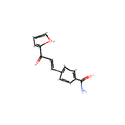 NC(=O)c1ccc(/C=C/C(=O)c2ccco2)cc1